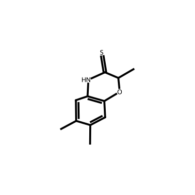 Cc1cc2c(cc1C)OC(C)C(=S)N2